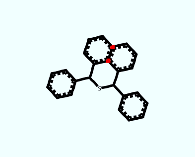 c1ccc(C(SC(c2ccccc2)c2ccccc2)c2ccccc2)cc1